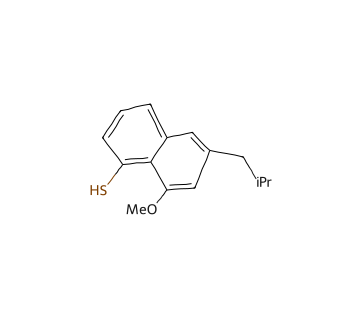 COc1cc(CC(C)C)cc2cccc(S)c12